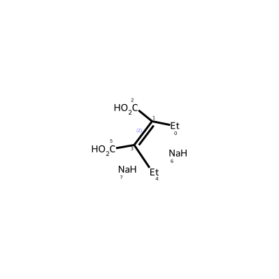 CC/C(C(=O)O)=C(\CC)C(=O)O.[NaH].[NaH]